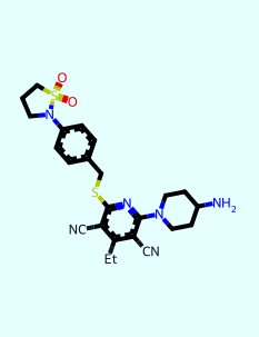 CCc1c(C#N)c(SCc2ccc(N3CCCS3(=O)=O)cc2)nc(N2CCC(N)CC2)c1C#N